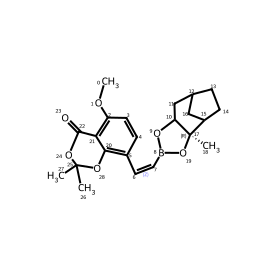 COc1ccc(/C=C\B2OC3CC4CCC(C4)[C@@]3(C)O2)c2c1C(=O)OC(C)(C)O2